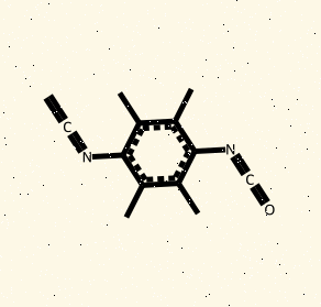 C=C=Nc1c(C)c(C)c(N=C=O)c(C)c1C